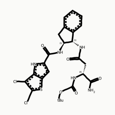 CC(C)(C)OC(=O)N[C@H](CC(=O)N[C@H]1c2ccccc2C[C@@H]1NC(=O)c1cc2sc(Cl)c(Cl)c2[nH]1)C(N)=O